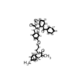 C=C(C)C(=O)N(CCCOc1ccc(C[C@H](Nc2ccccc2C(=O)c2ccccc2)C(=O)OC)cc1)c1ccc(C)cc1